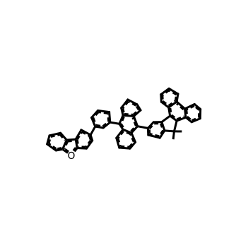 CC1(C)c2ccc(-c3c4ccccc4c(-c4cccc(-c5ccc6oc7ccccc7c6c5)c4)c4ccccc34)cc2-c2c1c1ccccc1c1ccccc21